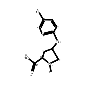 CN1CC(Oc2ccc(Cl)cn2)CC1C(=O)O